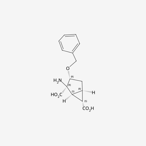 N[C@]1(C(=O)O)[C@H]2[C@@H](C[C@H]1OCc1ccccc1)[C@@H]2C(=O)O